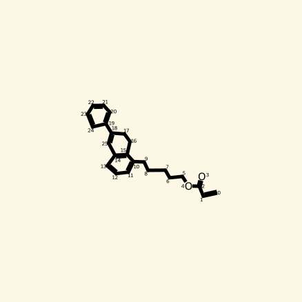 C=CC(=O)OCCCCCc1cccc2c1CCC(c1ccccc1)=C2